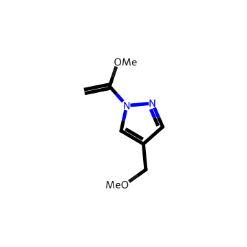 C=C(OC)n1cc(COC)cn1